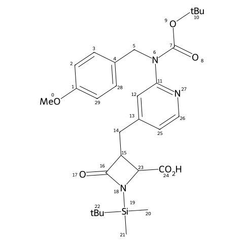 COc1ccc(CN(C(=O)OC(C)(C)C)c2cc(CC3C(=O)N([Si](C)(C)C(C)(C)C)C3C(=O)O)ccn2)cc1